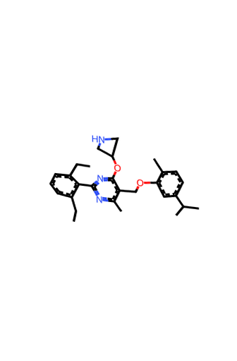 CCc1cccc(CC)c1-c1nc(C)c(COc2cc(C(C)C)ccc2C)c(OC2CNC2)n1